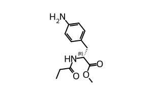 CCC(=O)N[C@H](Cc1ccc(N)cc1)C(=O)OC